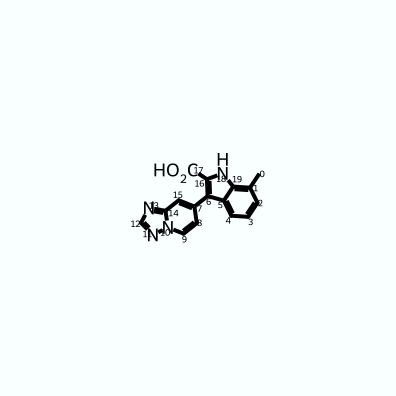 Cc1cccc2c(-c3ccn4ncnc4c3)c(C(=O)O)[nH]c12